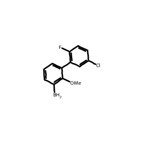 Bc1cccc(-c2cc(Cl)ccc2F)c1OC